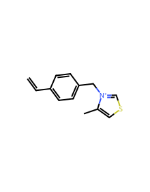 C=Cc1ccc(C[n+]2cscc2C)cc1